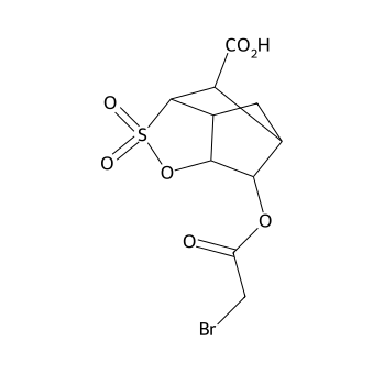 O=C(CBr)OC1C2CC3C1OS(=O)(=O)C3C2C(=O)O